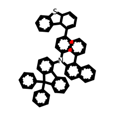 C1=CC2Sc3ccccc3C2C(c2ccc(N(c3cccc4c3-c3ccccc3C4(c3ccccc3)c3ccccc3)c3ccc4ccccc4c3-c3ccccc3)cc2)=C1